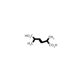 CC(/C=C/C(C)C(=O)O)C(=O)O